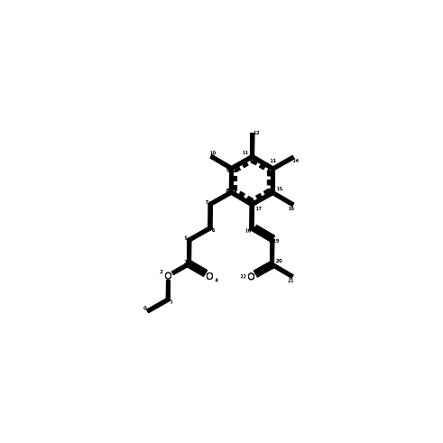 CCOC(=O)CCCc1c(C)c(C)c(C)c(C)c1/C=C/C(C)=O